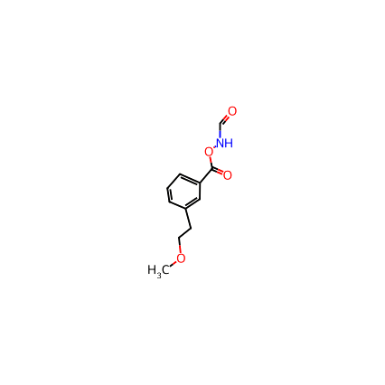 COCCc1cccc(C(=O)ONC=O)c1